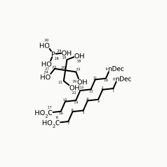 CCCCCCCCCCCCCCCCCC(=O)O.CCCCCCCCCCCCCCCCCC(=O)O.OCC(CO)(CO)CO.OP(O)O